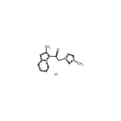 Cc1cc2ccccn2c1C(=O)C[n+]1ccn(C)c1.[Cl-]